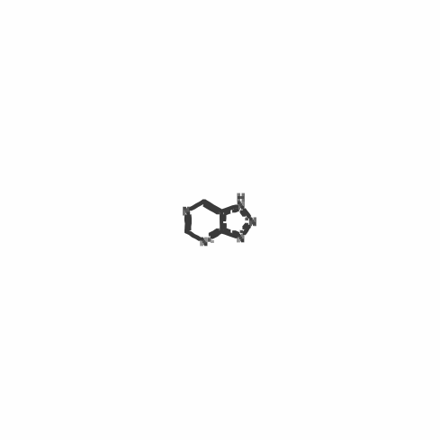 C1=NC=c2[nH]nnc2=[N+]1